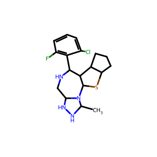 CC1NNC2CNC(c3c(F)cccc3Cl)C3C4CCCC4SC3N12